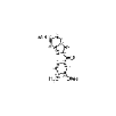 COc1ccc2nc(C(=O)c3ccc(C)c(OC)c3)sc2c1